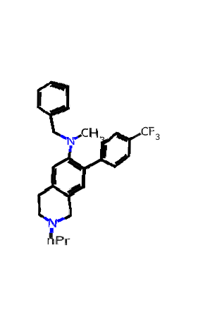 CCCN1CCc2cc(N(C)Cc3ccccc3)c(-c3ccc(C(F)(F)F)cc3)cc2C1